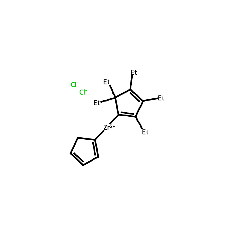 CCC1=C(CC)C(CC)(CC)[C]([Zr+2][C]2=CC=CC2)=C1CC.[Cl-].[Cl-]